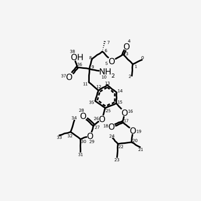 CC(C)C(=O)O[C@@H](C)CC(N)(Cc1ccc(OC(=O)OC(C)C(C)C)c(OC(=O)OC(C)C(C)C)c1)C(=O)O